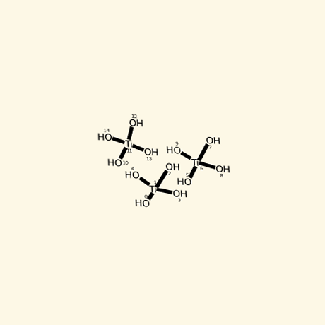 [OH][Ti]([OH])([OH])[OH].[OH][Ti]([OH])([OH])[OH].[OH][Ti]([OH])([OH])[OH]